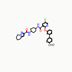 O=Cc1ccc(-c2cccc(Oc3ncc(F)cc3C(=O)NC3CCC(NC(=O)c4cc5n(n4)CCCC5)CC3)c2)cc1